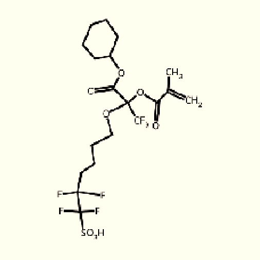 C=C(C)C(=O)OC(OCCCCC(F)(F)C(F)(F)S(=O)(=O)O)(C(=O)OC1CCCCC1)C(F)(F)F